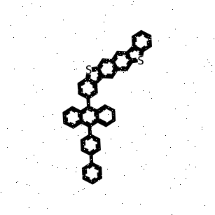 C1=c2c(-c3ccc(-c4ccccc4)cc3)c3ccccc3c(-c3ccc4sc5cc6cc7c(cc6cc5c4c3)sc3ccccc37)c2=CCC1